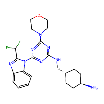 N[C@H]1CC[C@H](CNc2nc(N3CCOCC3)nc(-n3c(C(F)F)nc4ccccc43)n2)CC1